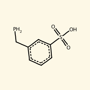 O=S(=O)(O)c1cccc(CP)c1